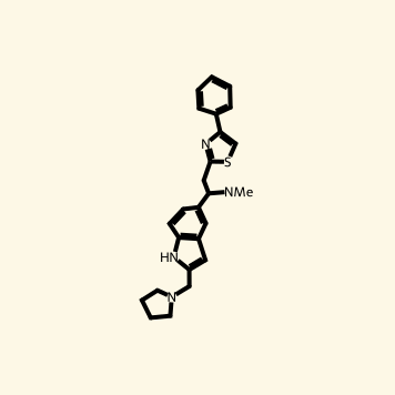 CNC(Cc1nc(-c2ccccc2)cs1)c1ccc2[nH]c(CN3CCCC3)cc2c1